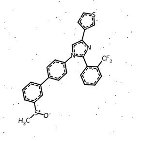 C[S+]([O-])c1cccc(-c2ccc(-n3cc(-c4ccsc4)nc3-c3ccccc3C(F)(F)F)cc2)c1